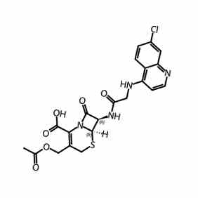 CC(=O)OCC1=C(C(=O)O)N2C(=O)[C@@H](NC(=O)CNc3ccnc4cc(Cl)ccc34)[C@H]2SC1